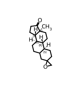 C[C@]12CC[C@H]3[C@@H](CCC4CC5(CC[C@@H]43)CO5)[C@@H]1CCC2=O